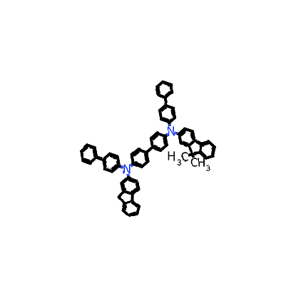 CC1(C)c2ccccc2-c2ccc(N(c3ccc(-c4ccccc4)cc3)c3ccc(-c4ccc(N(c5ccc(-c6ccccc6)cc5)c5ccc6c(c5)Cc5ccccc5-6)cc4)cc3)cc21